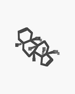 C[C@]12CC=CC[C@@H]1CC[C@@H]1[C@@H]2CC[C@]2(C)C=CC[C@@H]12